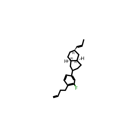 C=CCCc1ccc(C2CC[C@@H]3C[C@H](C=CC)CC[C@@H]3C2)cc1F